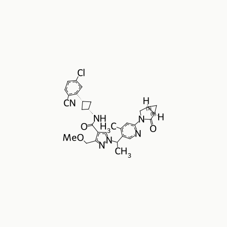 COCc1nn(C(C)c2cnc(N3C[C@H]4C[C@H]4C3=O)cc2C)cc1C(=O)N[C@H]1C[C@@H](c2cc(Cl)ccc2C#N)C1